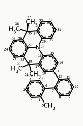 Cc1ccccc1-c1ccccc1-c1ccc2c(c1)C(C)(C)c1cccc3c1N2c1ccccc1C3(C)C